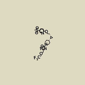 CS(=O)(=O)c1ccc(OCC[C@@H]2C[C@@H]2C2CCN(c3nc(COCC(F)(F)F)no3)CC2)nc1